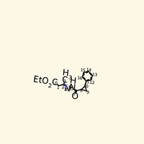 CCOC(=O)C/C(C)=N/NC(=O)C1CC1c1ccccc1